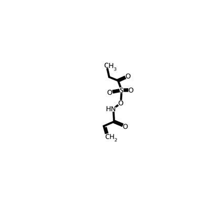 C=CC(=O)NOS(=O)(=O)C(=O)CC